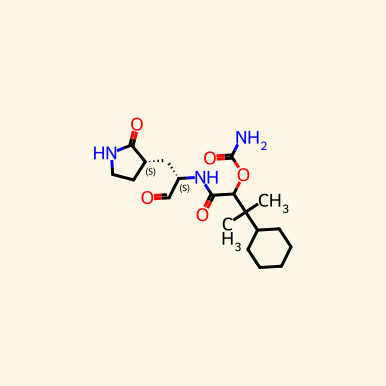 CC(C)(C1CCCCC1)C(OC(N)=O)C(=O)N[C@H](C=O)C[C@@H]1CCNC1=O